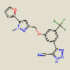 Cn1nc(COc2cc(-c3nn[nH]c3C#N)cc(C(F)(F)F)c2)cc1-c1ccco1